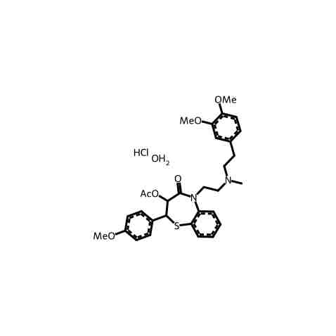 COc1ccc(C2Sc3ccccc3N(CCN(C)CCc3ccc(OC)c(OC)c3)C(=O)C2OC(C)=O)cc1.Cl.O